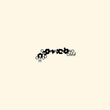 COc1cc(N2CCC3(CC2)CN(C2CN(c4ccc5c(c4)C(=O)N(C4CCC(=O)NC4=O)C5=O)C2)C3)c(C)cc1[N+](=O)[O-]